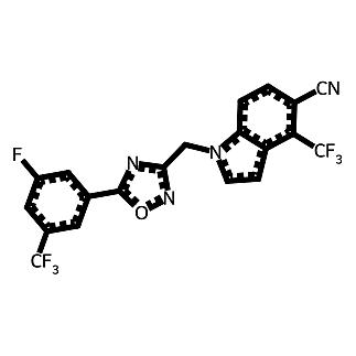 N#Cc1ccc2c(ccn2Cc2noc(-c3cc(F)cc(C(F)(F)F)c3)n2)c1C(F)(F)F